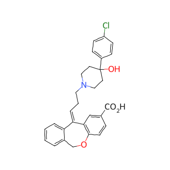 O=C(O)c1ccc2c(c1)C(=CCCN1CCC(O)(c3ccc(Cl)cc3)CC1)c1ccccc1CO2